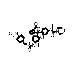 O=C(Nc1ccc2c(c1)Oc1cc(NC(=O)N3CCOCC3)ccc1C21OC(=O)c2ccccc21)OCc1ccc([N+](=O)[O-])cc1